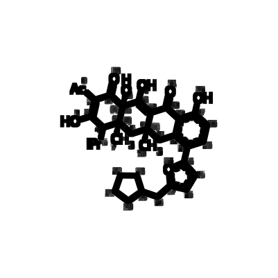 CC(=O)C1=C(O)C(C(C)C)[C@@]2(C)C[C@@]3(C)Cc4c(-c5ccc(CC6CCCC6)o5)ccc(O)c4C(=O)C3=C(O)[C@@]2(O)C1=O